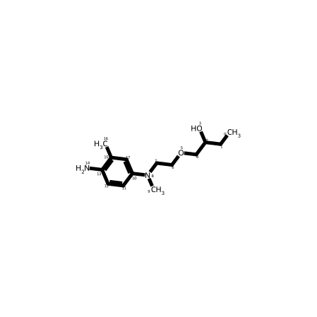 CCC(O)COCCN(C)c1ccc(N)c(C)c1